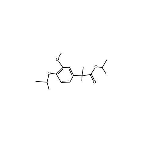 COc1cc(C(C)(C)C(=O)OC(C)C)ccc1OC(C)C